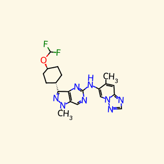 Cc1cc2ncnn2cc1Nc1ncc2c(n1)c([C@H]1CC[C@H](OC(F)F)CC1)nn2C